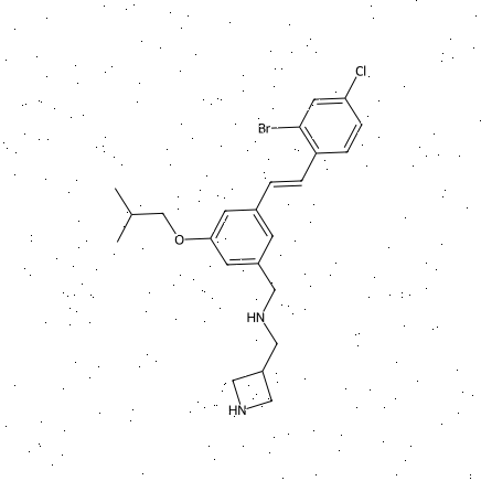 CC(C)COc1cc(/C=C/c2ccc(Cl)cc2Br)cc(CNCC2CNC2)c1